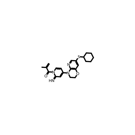 C=C(C)C(=O)n1ccc(N2CCOc3cc(SC4CCCCC4)cnc32)cc1=N